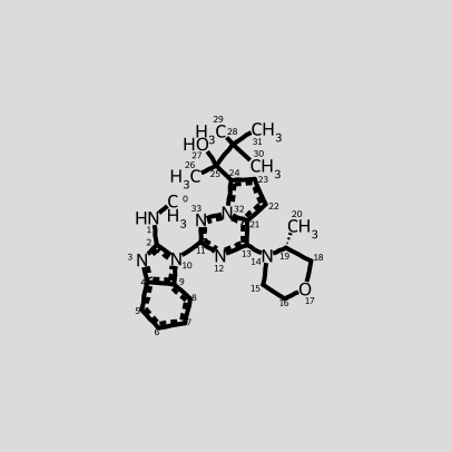 CNc1nc2ccccc2n1-c1nc(N2CCOC[C@H]2C)c2ccc(C(C)(O)C(C)(C)C)n2n1